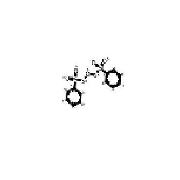 O=S(=O)(SOSS(=O)(=O)c1ccccc1)c1ccccc1